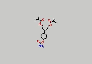 C=C(C)C(=O)OCCC(CCOC(=O)C(=C)C)C1CCC(OC(N)=O)CC1